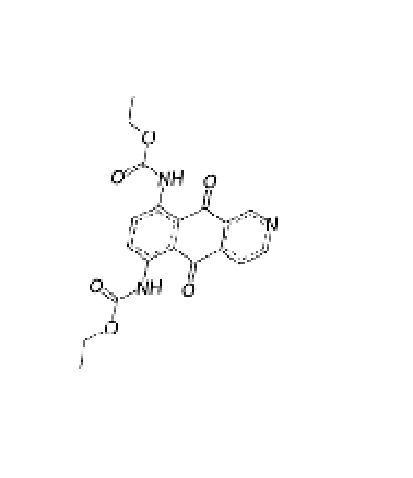 CCOC(=O)Nc1ccc(NC(=O)OCC)c2c1C(=O)c1ccncc1C2=O